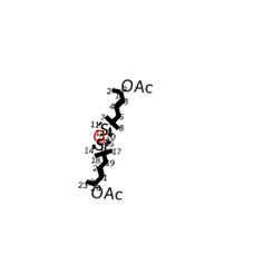 CC(=O)OC(C)/C=C/CC(C)(C)[Si](C)(C)O[Si](C)(C)C(C)(C)C/C=C/C(C)OC(C)=O